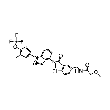 COCC(=O)NCc1ccc(Cl)c(C(=O)Nc2cccc3c2cnn3-c2ccc(OC(F)(F)F)c(C)c2)c1